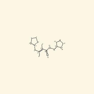 CC(CC1CCCO1)=C(C)C(=O)OCC1CCCO1